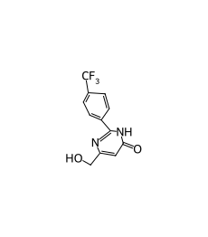 O=c1cc(CO)nc(-c2ccc(C(F)(F)F)cc2)[nH]1